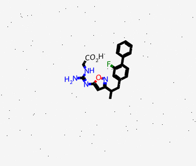 CC(Cc1ccc(-c2ccccc2)c(F)c1)c1cc(N=C(N)NCC(=O)O)on1